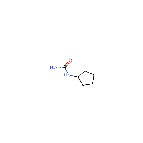 NC(=O)NC1CCCC1